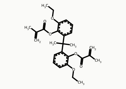 C=C(C)C(=O)Oc1c(OCC)cccc1C(C)(C)c1cccc(OCC)c1OC(=O)C(=C)C